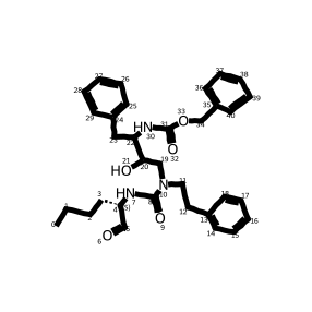 CCCC[C@@H]([C]=O)NC(=O)N(CCc1ccccc1)CC(O)C(Cc1ccccc1)NC(=O)OCc1ccccc1